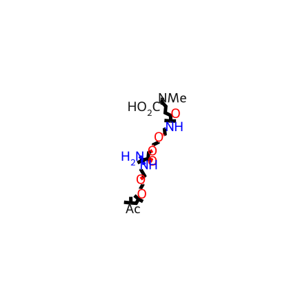 CNC(CCC(=O)C(C)(C)NCCOCCOCC(=O)C(C)(N)NCCOCCOC(C)(C)CC(C)(C)C(C)=O)C(=O)O